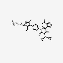 CCc1c(-c2ccc(NC(=O)C(NC(=O)c3ccnn3C(C)C)C(C3CC3)C3CC3)cn2)c(C)nn1COCCS(C)(C)C